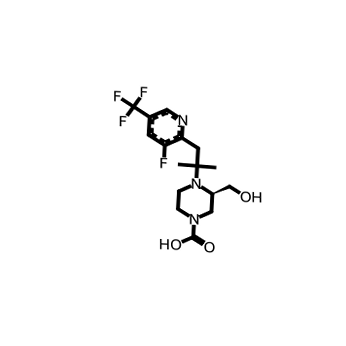 CC(C)(Cc1ncc(C(F)(F)F)cc1F)N1CCN(C(=O)O)C[C@@H]1CO